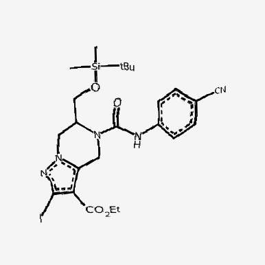 CCOC(=O)c1c(I)nn2c1CN(C(=O)Nc1ccc(C#N)cc1)C(CO[Si](C)(C)C(C)(C)C)C2